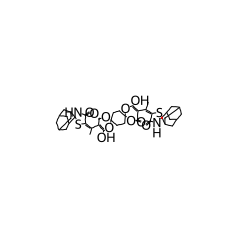 C/C(C1=C(O)OC2(CCC3(CC2)OC(=O)C(/C(C)=C2/SC4(NC2=O)C2CC5CC(C2)CC4C5)=C(O)O3)OC1=O)=C1\SC2(NC1=O)C1CC3CC(C1)CC2C3